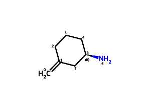 C=C1CCC[C@@H](N)C1